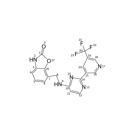 O=c1[nH]c2cccc(CNc3ccnc(-c4cncc(C(F)(F)F)c4)n3)c2o1